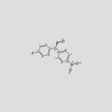 O=C[C@H](c1ccc(F)cc1)c1ccc([N+](=O)[O-])cc1